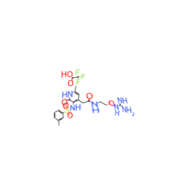 Cc1cccc(S(=O)(=O)Nc2c(CC(=O)NCCONC(=N)N)cc(C)[nH]c2=O)c1.O=C(O)C(F)(F)F